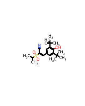 CC(C)S(=O)(=O)/C(C#N)=C/c1cc(C(C)(C)C)c(O)c(C(C)(C)C)c1